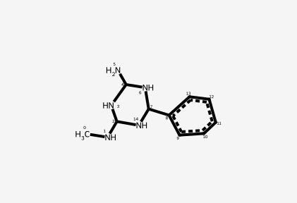 CNC1NC(N)NC(c2ccccc2)N1